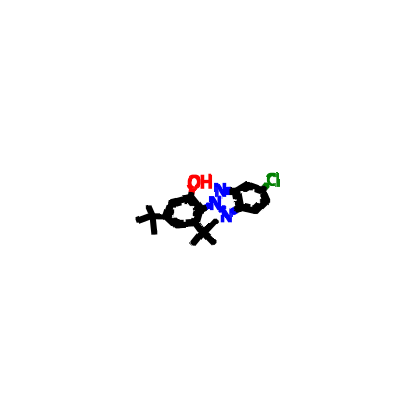 CC(C)(C)c1cc(O)c(-n2nc3ccc(Cl)cc3n2)c(C(C)(C)C)c1